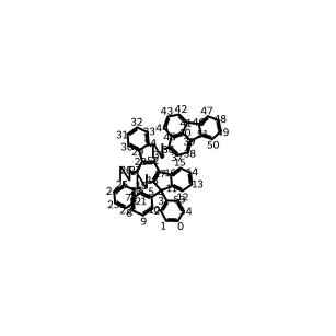 c1ccc(C2(c3ccccc3)c3ccccc3-c3c2n2c4ccccc4nc2c2c4ccccc4n(-c4ccc5c6c(cccc46)-c4ccccc4-5)c32)cc1